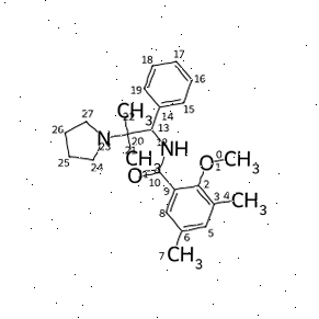 COc1c(C)cc(C)cc1C(=O)NC(c1ccccc1)C(C)(C)N1CCCC1